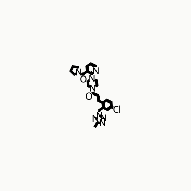 Cc1nnn(Cc2cc(Cl)ccc2C=CC(=O)N2CCN(c3ncccc3C(=O)N3CCCC3)CC2)n1